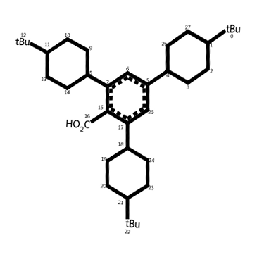 CC(C)(C)C1CCC(c2cc(C3CCC(C(C)(C)C)CC3)c(C(=O)O)c(C3CCC(C(C)(C)C)CC3)c2)CC1